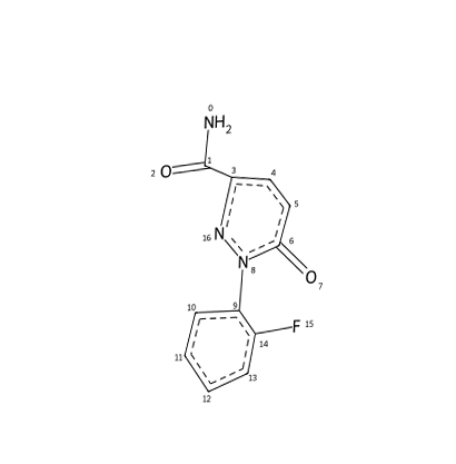 NC(=O)c1ccc(=O)n(-c2ccccc2F)n1